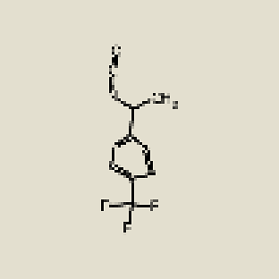 CC(N=C=O)c1ccc(C(F)(F)F)cc1